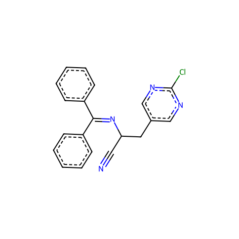 N#CC(Cc1cnc(Cl)nc1)N=C(c1ccccc1)c1ccccc1